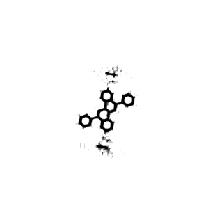 CC1(C)OB(c2ccc3c(c2)c(-c2ccccc2)cc2c4ccc(B5OC(C)(C)C(C)(C)O5)cc4c(-c4ccccc4)cc32)OC1(C)C